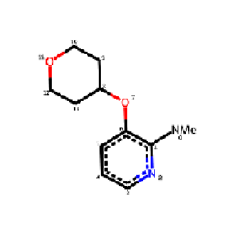 CNc1ncccc1OC1CCOCC1